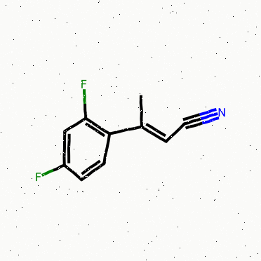 C/C(=C\C#N)c1ccc(F)cc1F